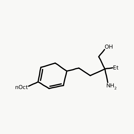 CCCCCCCCC1=CCC(CCC(N)(CC)CO)C=C1